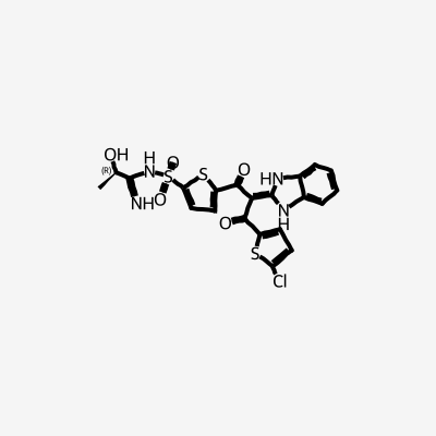 C[C@@H](O)C(=N)NS(=O)(=O)c1ccc(C(=O)C(C(=O)c2ccc(Cl)s2)=C2Nc3ccccc3N2)s1